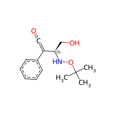 CC(C)(C)ON[C@H](CO)C(=C=O)c1ccccc1